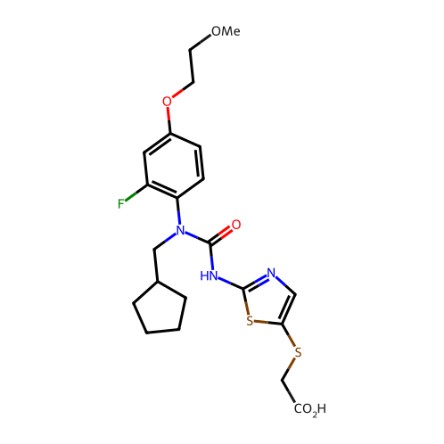 COCCOc1ccc(N(CC2CCCC2)C(=O)Nc2ncc(SCC(=O)O)s2)c(F)c1